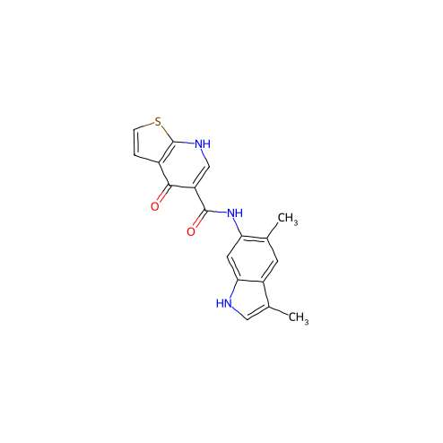 Cc1cc2c(C)c[nH]c2cc1NC(=O)c1c[nH]c2sccc2c1=O